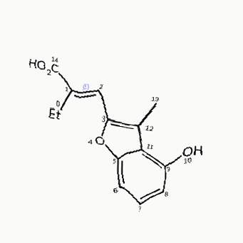 CC/C(=C\c1oc2cccc(O)c2c1C)C(=O)O